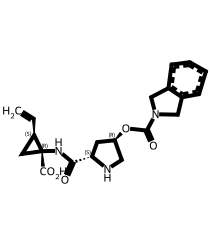 C=C[C@@H]1C[C@]1(NC(=O)[C@@H]1C[C@@H](OC(=O)N2Cc3ccccc3C2)CN1)C(=O)O